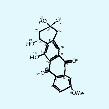 COc1ccc2c(c1)C(=O)c1cc3c(c(O)c1C2=O)[C@H](O)C[C@@](O)(C(C)=O)C3